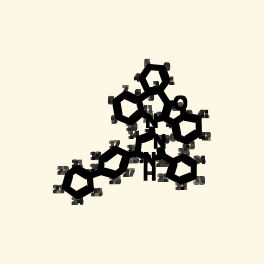 C1=CC2=C(CC1)c1ccccc1N(C1=CC(c3ccc(-c4ccccc4)cc3)NC(c3ccccc3)=N1)c1c2oc2ccccc12